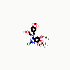 COc1cc2c(N(CCO)Cc3ccc4c(c3)OCO4)nc(Cl)nc2c(OC)c1OC